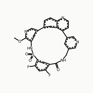 COc1ncc2cc1NS(=O)(=O)c1cc(c(F)cc1F)C(=O)NCc1cncc(c1)-c1ccnc3ccc-2cc13